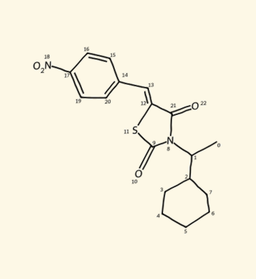 CC(C1CCCCC1)N1C(=O)S/C(=C\c2ccc([N+](=O)[O-])cc2)C1=O